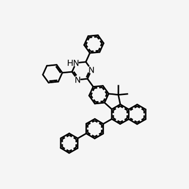 CC1(C)c2cc(C3=NC(c4ccccc4)NC(C4=CCCC=C4)=N3)ccc2-c2c(-c3ccc(-c4ccccc4)cc3)cc3ccccc3c21